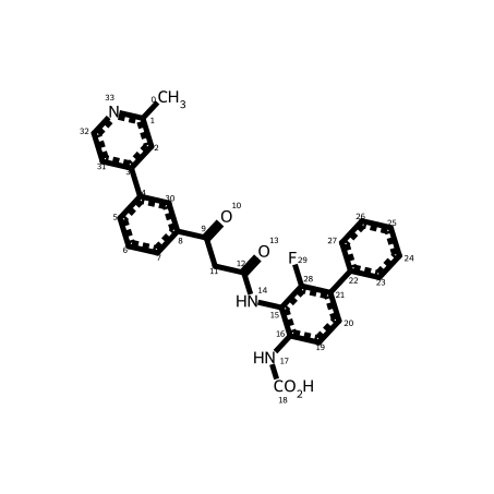 Cc1cc(-c2cccc(C(=O)CC(=O)Nc3c(NC(=O)O)ccc(-c4ccccc4)c3F)c2)ccn1